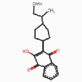 COCC(C)C1CCC(C2=C(O)C(=O)c3ccccc3C2=O)CC1